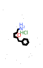 Cl.NCc1ccc(Cc2ccccc2)o1